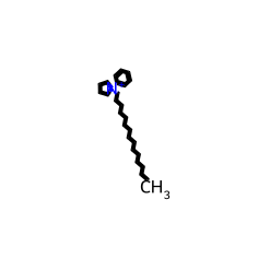 CCCCCCCCCCCCCCCC[N+]1(c2ccccc2)CCCC1